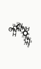 CN1CCN(c2ccc(Nc3ncc4c(n3)NC(=O)C4)cc2)CC1